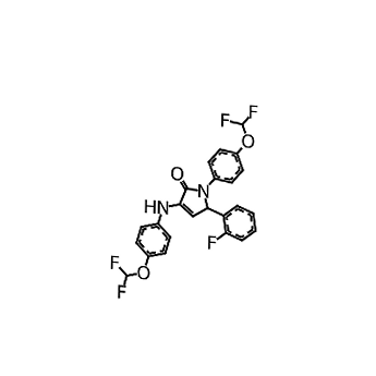 O=C1C(Nc2ccc(OC(F)F)cc2)=CC(c2ccccc2F)N1c1ccc(OC(F)F)cc1